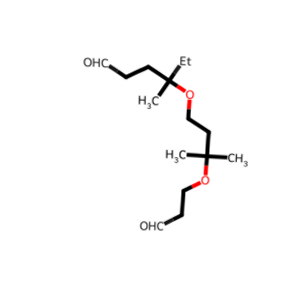 CCC(C)(CCC=O)OCCC(C)(C)OCCC=O